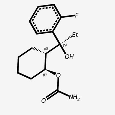 CC[C@@](O)(c1ccccc1F)[C@H]1CCCC[C@@H]1OC(N)=O